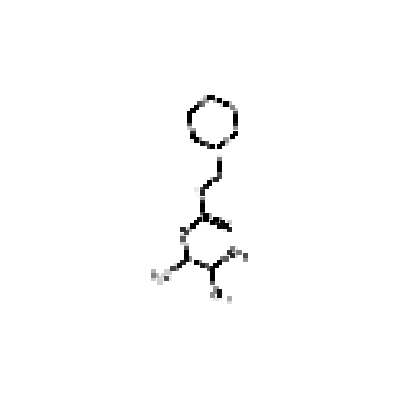 CC(C)C(C)OC(=O)OCC1CCCCC1